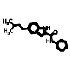 CC(C)CCc1ccc2[nH]c(C(=O)Nc3ccccc3)cc2c1